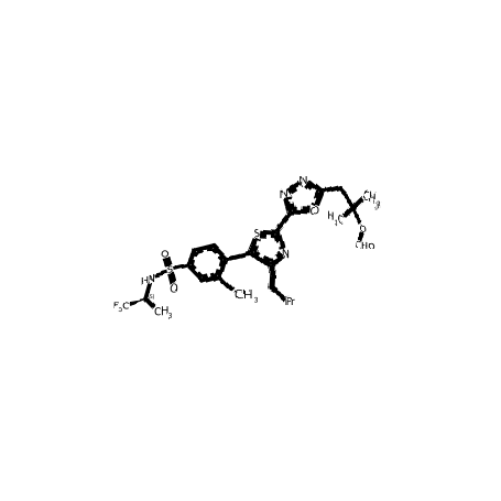 Cc1cc(S(=O)(=O)N[C@@H](C)C(F)(F)F)ccc1-c1sc(-c2nnc(CC(C)(C)OC=O)o2)nc1CC(C)C